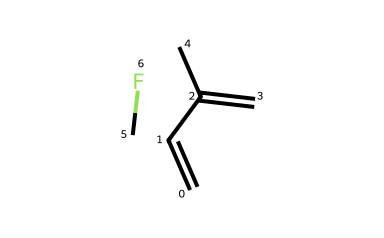 C=CC(=C)C.CF